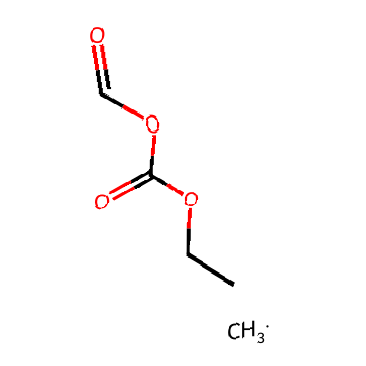 CCOC(=O)OC=O.[CH3]